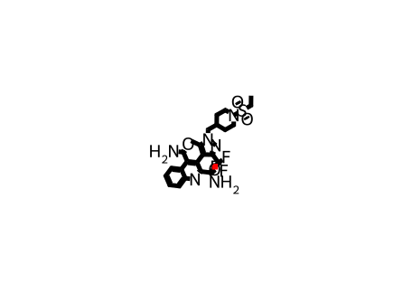 CCS(=O)(=O)N1CCC(Cn2nc(C(F)(F)F)c(-c3c(C(N)=O)nc4ccccc4c3C(N)=O)c2C)CC1